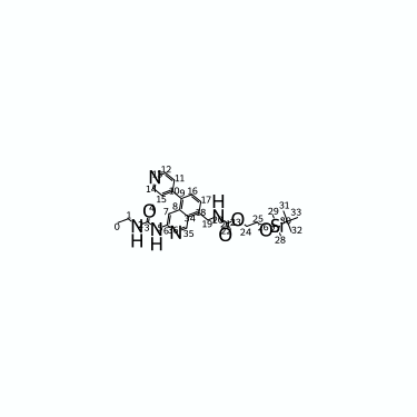 CCNC(=O)Nc1cc2c(-c3ccncc3)ccc(CNC(=O)OCCO[Si](C)(C)C(C)(C)C)c2cn1